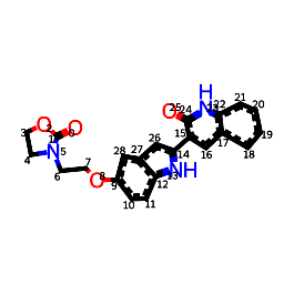 O=C1OCCN1CCOc1ccc2[nH]c(-c3cc4ccccc4[nH]c3=O)cc2c1